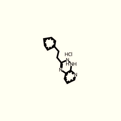 Cl.c1ccc(CCC2=Nc3cccnc3NN2)cc1